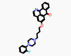 O=C1c2ccccc2-c2nccc3cc(OCCCCN4CCN(c5ccccc5F)CC4)cc1c23